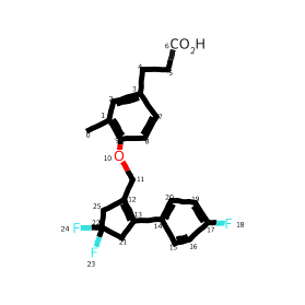 Cc1cc(CCC(=O)O)ccc1OCC1=C(c2ccc(F)cc2)CC(F)(F)C1